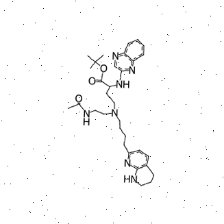 CC(=O)NCCN(CCCCc1ccc2c(n1)NCCC2)CCC(Nc1cnc2ccccc2n1)C(=O)OC(C)(C)C